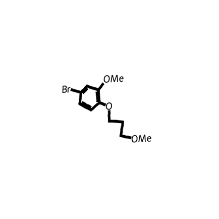 COCCCOc1ccc(Br)cc1OC